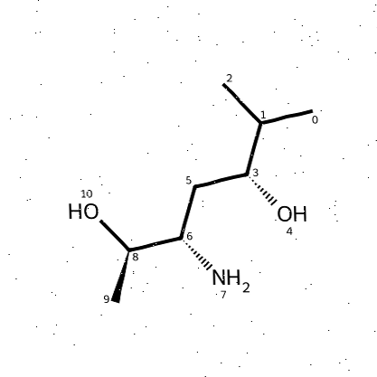 CC(C)[C@H](O)C[C@H](N)[C@@H](C)O